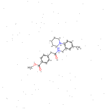 COC(=O)c1ccc(CC(=O)NCc2cc(C)ccc2N2CCCCC2)cc1